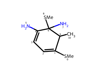 CSC1=CC=C(N)C(N)(SC)C1C